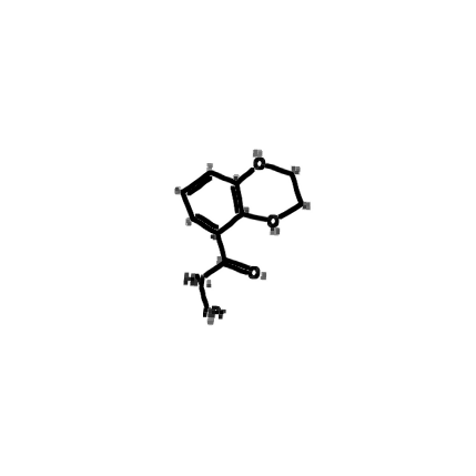 [CH2]CCNC(=O)c1cccc2c1OCCO2